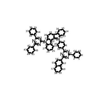 c1ccc(-c2nc(-c3ccc(-n4c5ccccc5c5ccc6c(c7ccccc7n6-c6nc(-c7ccccc7)nc(-c7ccccc7)n6)c54)cc3)nc(-c3ccc4ccccc4c3)n2)cc1